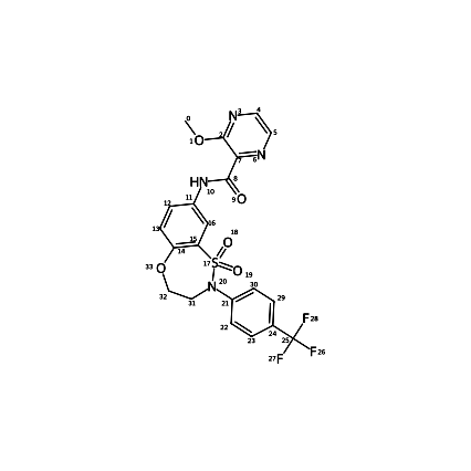 COc1nccnc1C(=O)Nc1ccc2c(c1)S(=O)(=O)N(c1ccc(C(F)(F)F)cc1)CCO2